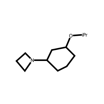 CC(C)OC1CCCC(N2CCC2)C1